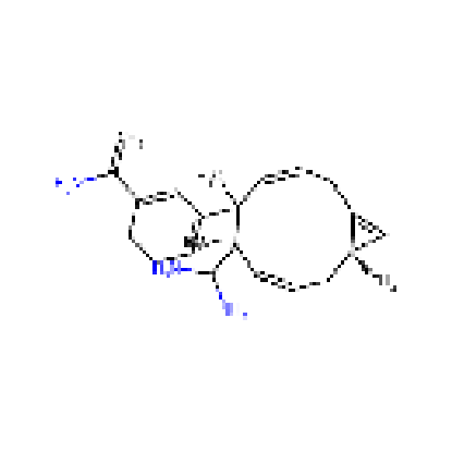 C=C(N)C1=CC(C2(C)/C=C\CC3=C[C@]3(C)C/C=C\C2(C)C(N)N)=CCC1